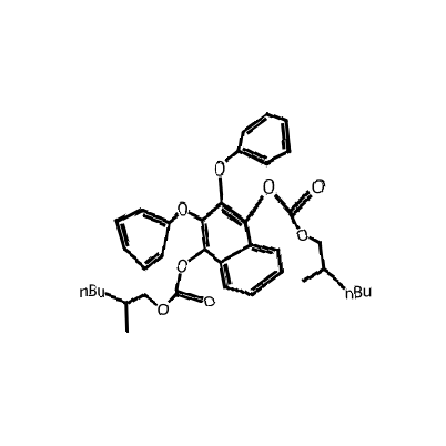 CCCCC(C)COC(=O)Oc1c(Oc2ccccc2)c(Oc2ccccc2)c(OC(=O)OCC(C)CCCC)c2ccccc12